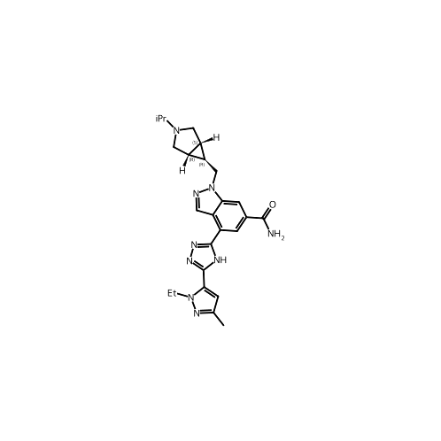 CCn1nc(C)cc1-c1nnc(-c2cc(C(N)=O)cc3c2cnn3C[C@H]2[C@@H]3CN(C(C)C)C[C@@H]32)[nH]1